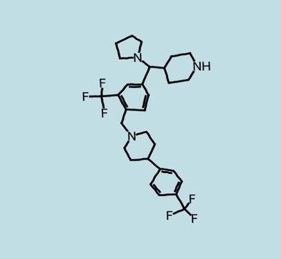 FC(F)(F)c1ccc(C2CCN(Cc3ccc(C(C4CCNCC4)N4CCCC4)cc3C(F)(F)F)CC2)cc1